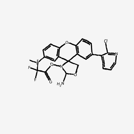 COc1ccc2c(c1)C1(COC(N)N1OC(=O)C(F)(F)F)c1cc(-c3cccnc3Cl)ccc1O2